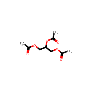 O=C(OCC(COC(=O)C(F)(F)F)OC(=O)C(F)(F)F)C(F)(F)F